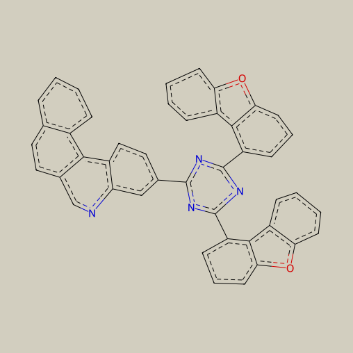 c1ccc2c(c1)ccc1cnc3cc(-c4nc(-c5cccc6oc7ccccc7c56)nc(-c5cccc6oc7ccccc7c56)n4)ccc3c12